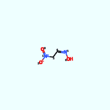 O=[N+]([O-])C/C=N\O